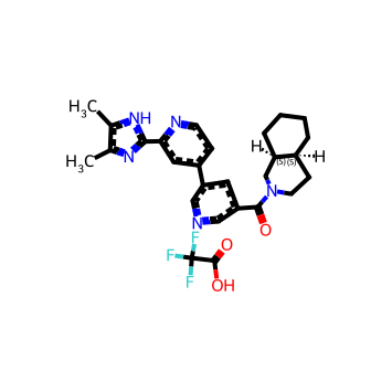 Cc1nc(-c2cc(-c3cncc(C(=O)N4CC[C@@H]5CCCC[C@@H]5C4)c3)ccn2)[nH]c1C.O=C(O)C(F)(F)F